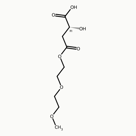 COCCOCCOC(=O)C[C@@H](O)C(=O)O